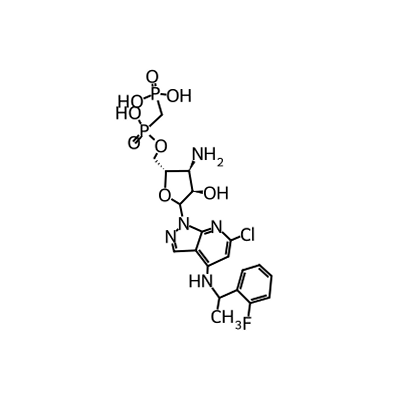 CC(Nc1cc(Cl)nc2c1cnn2C1O[C@H](COP(=O)(O)CP(=O)(O)O)[C@@H](N)[C@H]1O)c1ccccc1F